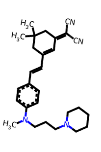 CN(CCCN1CCCCC1)c1ccc(C=CC2=CC(=C(C#N)C#N)CC(C)(C)C2)cc1